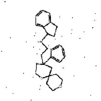 c1ccc(C2(CCNC3CCc4ccccc43)CCOC3(CCOCC3)C2)nc1